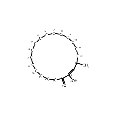 CC1C=C(O)C(=O)CCCCCCCCCCCCCCCC1